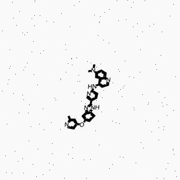 Cc1cc(Oc2ccc3[nH]c(-c4ccc(Nc5ccnc6ccc(N(C)C)cc56)nc4)nc3c2)ccn1